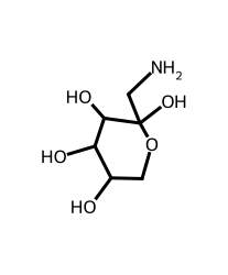 NCC1(O)OCC(O)C(O)C1O